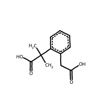 CC(C)(C(=O)O)c1ccccc1CC(=O)O